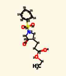 CCOC(=O)CCC1CN(S(=O)(=O)c2ccccc2)CC1=O